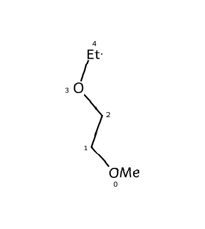 [CH2]OCCO[CH]C